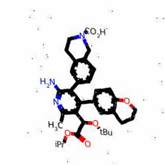 Cc1nc(N)c(-c2ccc3c(c2)CCN(C(=O)O)C3)c(-c2ccc3c(c2)CCCO3)c1C(OC(C)(C)C)C(=O)OC(C)C